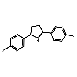 Clc1ccc(C2CCC(c3ccc(Cl)nc3)N2)cn1